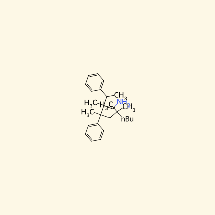 CCCCC(C)(C)CC(C)(c1ccccc1)C(C)(CN)C(C)c1ccccc1